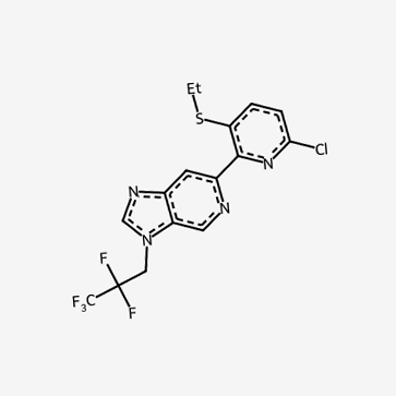 CCSc1ccc(Cl)nc1-c1cc2ncn(CC(F)(F)C(F)(F)F)c2cn1